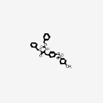 Cc1ccc(S(=O)(=O)Oc2ccc(CC(NC(=O)OCc3ccccc3)C(=O)OCc3ccccc3)cc2)cc1